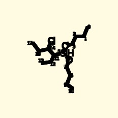 CCCCO[SiH](OCCCC)C(CC)C(Cl)CC